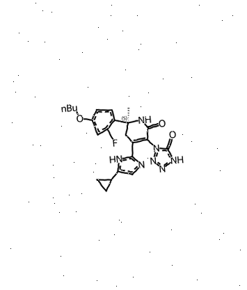 CCCCOc1ccc([C@]2(C)CC(c3ncc(C4CC4)[nH]3)=C(n3nn[nH]c3=O)C(=O)N2)c(F)c1